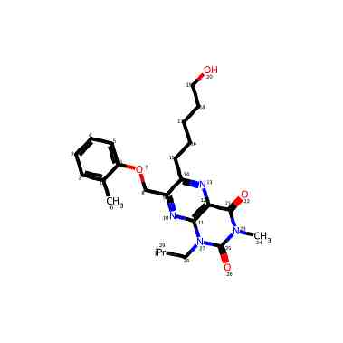 Cc1ccccc1OCc1nc2c(nc1CCCCCO)c(=O)n(C)c(=O)n2CC(C)C